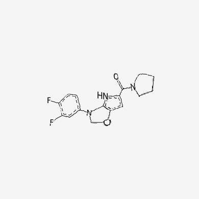 O=C(c1cc2c([nH]1)N(c1ccc(F)c(F)c1)CO2)N1CCCC1